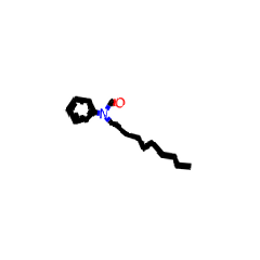 CCCCCCCCCCN([C]=O)c1ccccc1